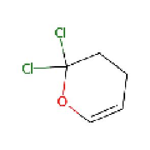 ClC1(Cl)CCC=CO1